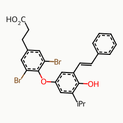 CC(C)c1cc(Oc2c(Br)cc(CCC(=O)O)cc2Br)cc(C=Cc2ccccc2)c1O